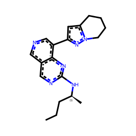 CCC[C@H](C)Nc1ncc2cncc(-c3cc4n(n3)CCCC4)c2n1